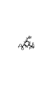 COC(=O)c1cc(CBr)nc(C(F)(F)F)n1